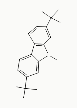 Cn1c2cc(C(C)(C)C)ccc2c2ccc(C(C)(C)C)cc21